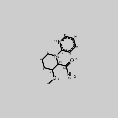 COC1CCCN(c2cc[c]cn2)C1C(N)=O